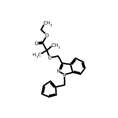 CCOC(=O)C(C)(C)OCc1nn(Cc2ccccc2)c2ccccc12